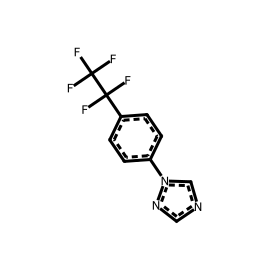 FC(F)(F)C(F)(F)c1ccc(-n2cncn2)cc1